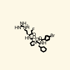 N=C(N)NCCC[C@H](NC(=O)[C@@H]1CCCN1C(O)[C@H](CC1CCCCC1)NC(=O)c1ccc(Br)cc1)C(=O)CF